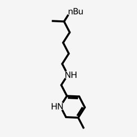 CCCCC(C)CCCCNCC1=CC=C(C)CN1